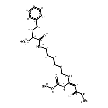 CC(C)(C)OC(=O)/N=C(/NCCCCCCNC(=O)C(OCc1ccccc1)C(=O)O)NC(=O)OC(C)(C)C